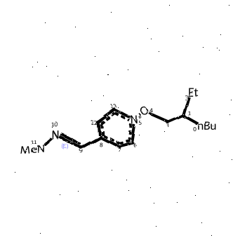 CCCCC(CC)CO[n+]1ccc(/C=N/NC)cc1